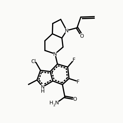 C=CC(=O)N1CCC2CCN(c3c(F)c(F)c(C(N)=O)c4[nH]c(C)c(Cl)c34)CC21